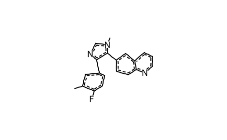 Cc1cc(-c2ncn(C)c2-c2ccc3ncccc3c2)ccc1F